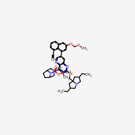 C#Cc1cccc2cc(OCOC)cc(-c3cnc4c(N5CC6CCC(C5)N6C(=O)OC(C)(C)C)nc(OCC56CC(CC)CN5CC(CC)C6)nc4c3)c12